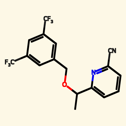 CC(OCc1cc(C(F)(F)F)cc(C(F)(F)F)c1)c1cccc(C#N)n1